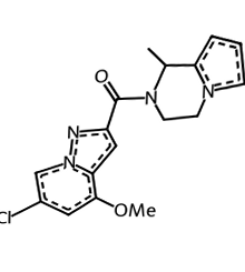 COc1cc(Cl)cn2nc(C(=O)N3CCn4cccc4C3C)cc12